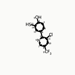 Oc1ccc(-c2ncc(C(F)(F)F)cc2Cl)cc1S